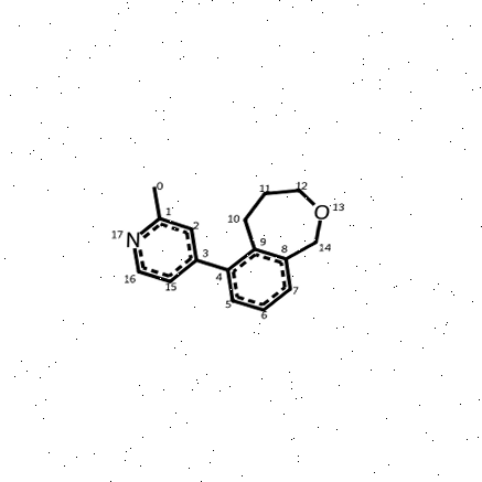 Cc1cc(-c2cccc3c2CCCOC3)ccn1